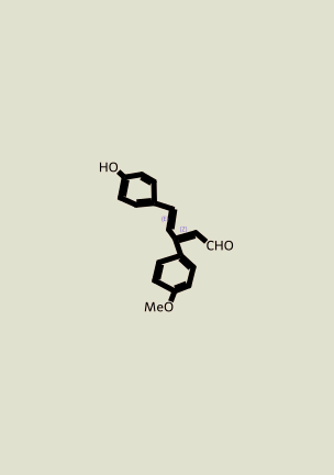 COc1ccc(C(=C\C=O)/C=C/c2ccc(O)cc2)cc1